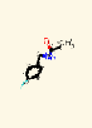 CCC(=O)NCc1ccc(F)cc1